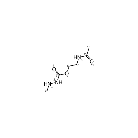 CNNC(=O)OCCNC(C)=O